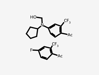 CC(=O)c1ccc(F)cc1C(F)(F)F.CC(=O)c1ccc(N(CO)C2CCCC2)cc1C(F)(F)F